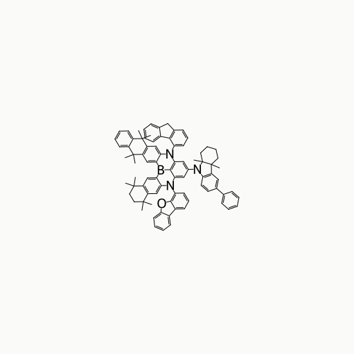 CC1(C)CCC(C)(C)c2cc3c(cc21)B1c2cc4c(cc2N(c2cccc5c2-c2ccccc2C5)c2cc(N5c6ccc(-c7ccccc7)cc6C6(C)CCCCC56C)cc(c21)N3c1cccc2c1oc1ccccc12)C(C)(C)c1ccccc1C4(C)C